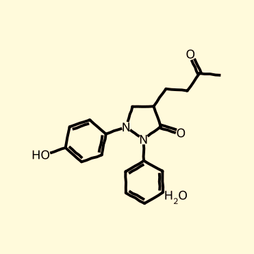 CC(=O)CCC1CN(c2ccc(O)cc2)N(c2ccccc2)C1=O.O